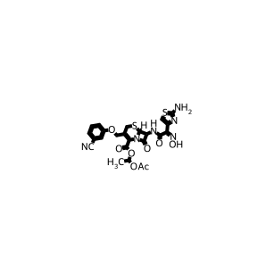 CC(=O)OC(C)OC(=O)C1=C(COc2cccc(C#N)c2)CS[C@@H]2C(NC(=O)/C(=N\O)c3csc(N)n3)C(=O)N12